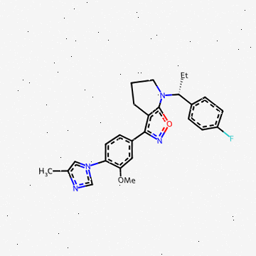 CC[C@H](c1ccc(F)cc1)N1CCCc2c(-c3ccc(-n4cnc(C)c4)c(OC)c3)noc21